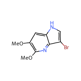 COc1cc2[nH]cc(Br)c2nc1OC